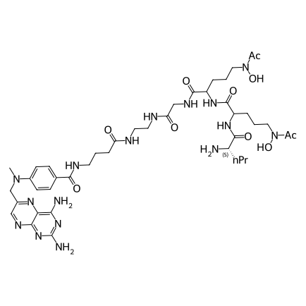 CCC[C@H](N)C(=O)NC(CCCN(O)C(C)=O)C(=O)NC(CCCN(O)C(C)=O)C(=O)NCC(=O)NCCNC(=O)CCCNC(=O)c1ccc(N(C)Cc2cnc3nc(N)nc(N)c3n2)cc1